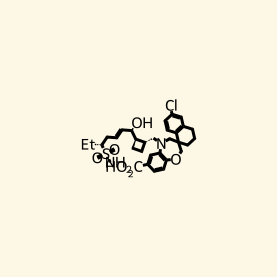 CC[C@H](C/C=C/[C@H](O)[C@@H]1CC[C@H]1CN1CC2(CCCc3cc(Cl)ccc32)COc2ccc(C(=O)O)cc21)S(N)(=O)=O